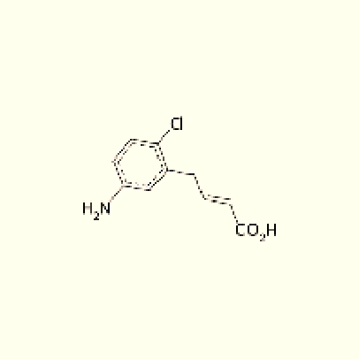 Nc1ccc(Cl)c(CC=CC(=O)O)c1